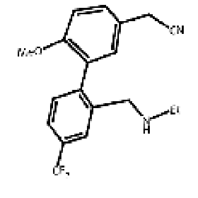 CCNCc1cc(C(F)(F)F)ccc1-c1cc(CC#N)ccc1OC